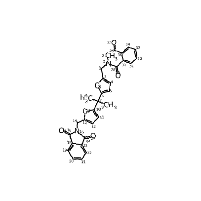 CN(Cc1ccc(C(C)(C)c2ccc(CN3C(=O)c4ccccc4C3=O)o2)o1)C(=O)c1ccccc1C=O